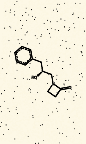 O=C1CCN1C[C@@H](O)Cc1ccccc1